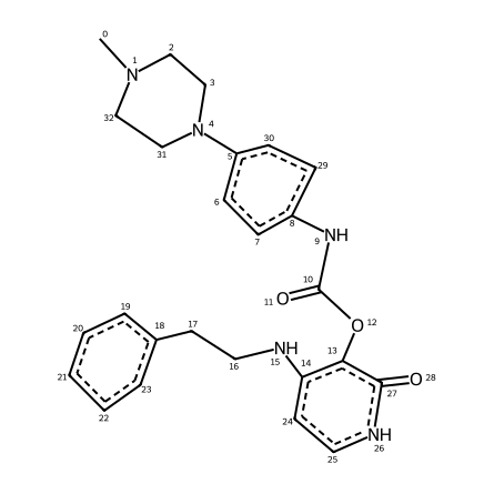 CN1CCN(c2ccc(NC(=O)Oc3c(NCCc4ccccc4)cc[nH]c3=O)cc2)CC1